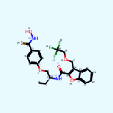 CC[C@@H](COc1ccc(C(=S)NO)cc1)NC(=O)c1oc2ccccc2c1COCC(F)(F)F